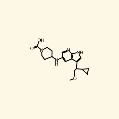 COCC(c1c[nH]c2ncc(NC3CCN(C(=O)O)CC3)cc12)C1CC1